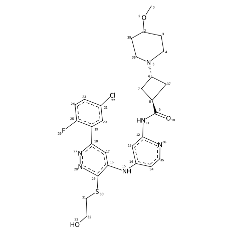 COC1CCN([C@H]2C[C@H](C(=O)Nc3cc(Nc4cc(-c5cc(Cl)ccc5F)nnc4SCCO)ccn3)C2)CC1